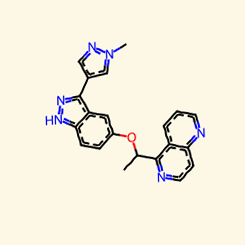 CC(Oc1ccc2[nH]nc(-c3cnn(C)c3)c2c1)c1nccc2ncccc12